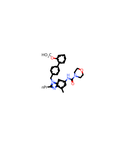 CCCc1nc2c(C)cc(NC(=O)N3CCOCC3)cc2n1Cc1ccc(-c2ccccc2OC(=O)O)cc1